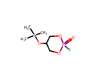 C[Si](C)(C)OC1COP(=O)(F)OC1